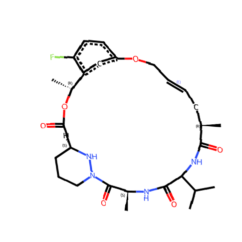 CC(C)C1NC(=O)[C@H](C)C/C=C/COc2ccc(F)c(c2)[C@@H](C)OC(=O)[C@@H]2CCCN(N2)C(=O)[C@H](C)NC1=O